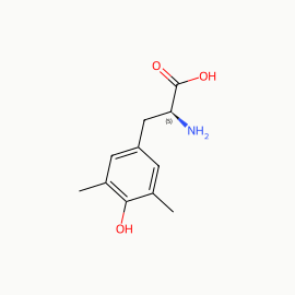 Cc1cc(C[C@H](N)C(=O)O)cc(C)c1O